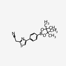 CC1(C)OB(c2ccc(-c3csc(CC#N)n3)cc2)OC1(C)C